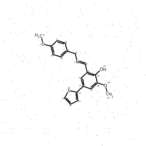 COc1ccc(C/N=C/c2cc(-c3cccs3)cc(OC)c2O)cc1